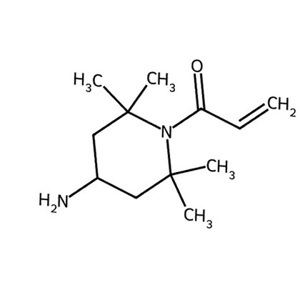 C=CC(=O)N1C(C)(C)CC(N)CC1(C)C